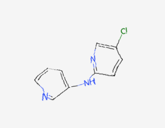 Clc1ccc(Nc2cccnc2)nc1